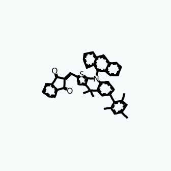 Cc1cc(C)c(-c2ccc3c(c2)C(C)(C)c2cc(C=C4C(=O)c5ccccc5C4=O)sc2N3c2c3ccccc3cc3ccccc23)c(C)c1